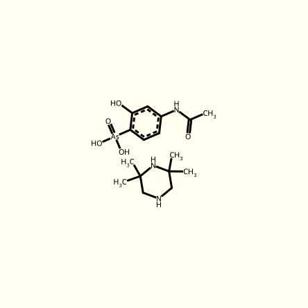 CC(=O)Nc1ccc([As](=O)(O)O)c(O)c1.CC1(C)CNCC(C)(C)N1